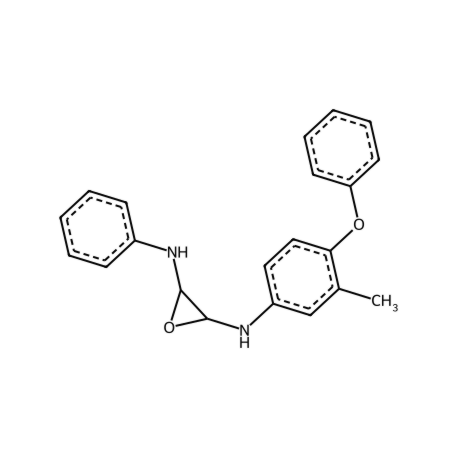 Cc1cc(NC2OC2Nc2ccccc2)ccc1Oc1ccccc1